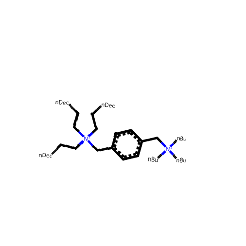 CCCCCCCCCCCC[N+](CCCCCCCCCCCC)(CCCCCCCCCCCC)Cc1ccc(C[N+](CCCC)(CCCC)CCCC)cc1